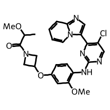 COc1cc(OC2CN(C(=O)C(C)OC)C2)ccc1Nc1ncc(Cl)c(-c2cnc3ccccn23)n1